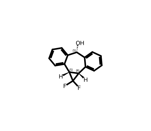 O[C@H]1c2ccccc2[C@@H]2[C@H](c3ccccc31)C2(F)F